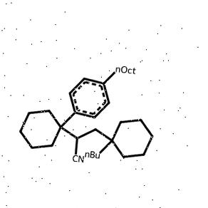 CCCCCCCCc1ccc(C2(C(C#N)CC3(CCCC)CCCCC3)CCCCC2)cc1